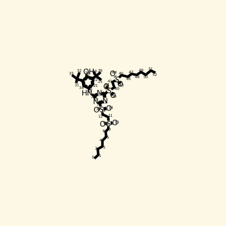 CCCCCCCCS(=O)(=O)CCS(=O)(=O)c1nc(Nc2cc(C(C)(C)C)c(O)c(C(C)(C)C)c2)nc(S(=O)(=O)CCS(=O)(=O)CCCCCCCC)n1